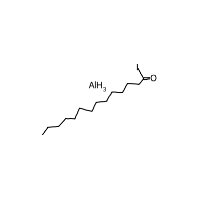 CCCCCCCCCCCCCC(=O)I.[AlH3]